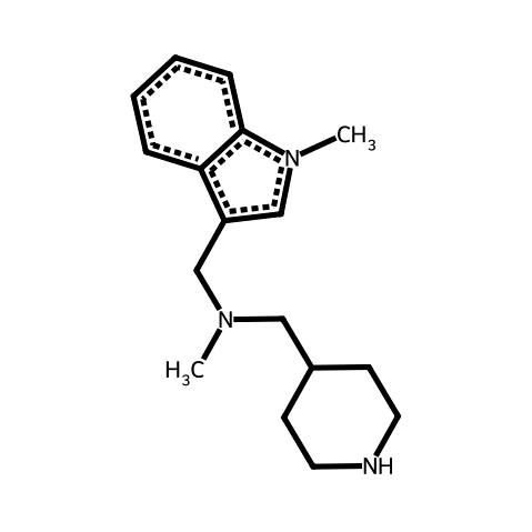 CN(Cc1cn(C)c2ccccc12)CC1CCNCC1